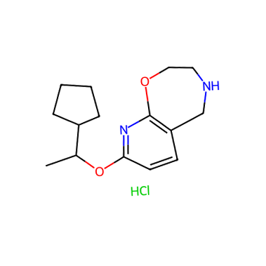 CC(Oc1ccc2c(n1)OCCNC2)C1CCCC1.Cl